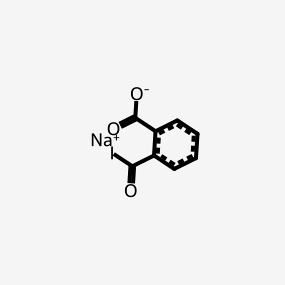 O=C([O-])c1ccccc1C(=O)I.[Na+]